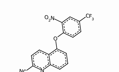 N#Cc1ccc2c(Oc3ccc(C(F)(F)F)cc3[N+](=O)[O-])cccc2n1